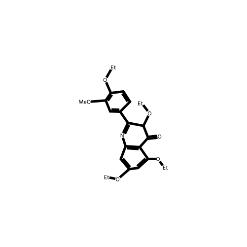 CCOc1cc2c(c(OCC)c1)C(=O)C(OCC)C(c1ccc(OCC)c(OC)c1)=N2